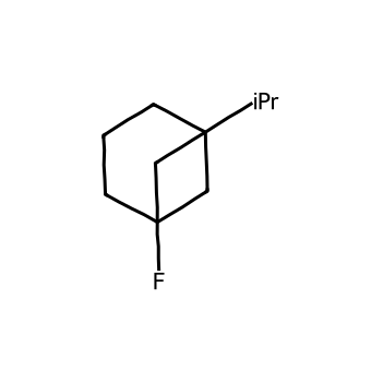 CC(C)C12CCCC(F)(C1)C2